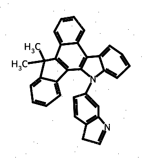 CC1(C)c2ccccc2-c2c1c1ccccc1c1c3ccccc3n(-c3ccc4c(c3)N=CC4)c21